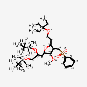 CC[Si](CC)(CC)OCCC1OC(CC(CO[Si](C)(C)C(C)(C)C)O[Si](C)(C)C(C)(C)C)[C@H](OC)C1CS(=O)(=O)c1ccccc1